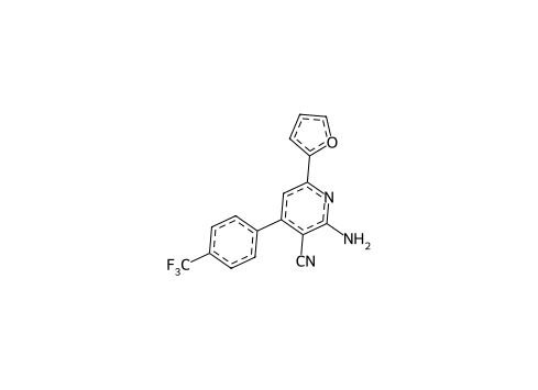 N#Cc1c(-c2ccc(C(F)(F)F)cc2)cc(-c2ccco2)nc1N